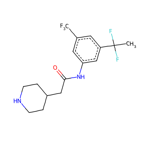 CC(F)(F)c1cc(NC(=O)CC2CCNCC2)cc(C(F)(F)F)c1